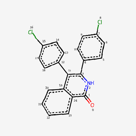 O=c1[nH]c(-c2ccc(Cl)cc2)c(-c2ccc(Cl)cc2)c2ccccc12